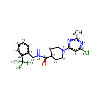 Cc1nc(Cl)cc(N2CCC(C(=O)NCc3ccccc3C(F)(F)F)CC2)n1